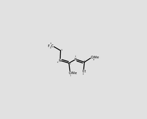 CC/C(=N\C(=N/CC(F)(F)F)OC)OC